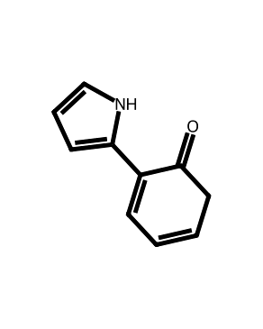 O=C1CC=CC=C1c1ccc[nH]1